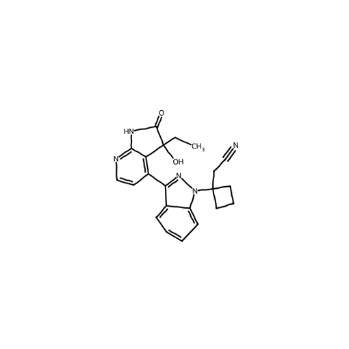 CCC1(O)C(=O)Nc2nccc(-c3nn(C4(CC#N)CCC4)c4ccccc34)c21